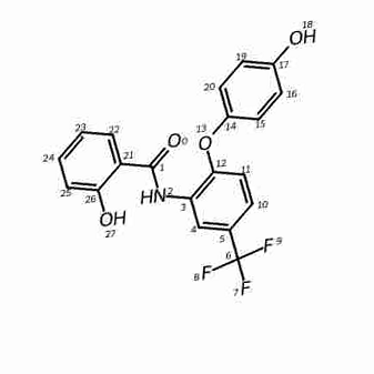 O=C(Nc1cc(C(F)(F)F)ccc1Oc1ccc(O)cc1)c1c[c]ccc1O